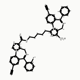 C#Cc1ccc2c(c1)C(c1ccccc1F)=NCc1c(C(=O)OCCCCCc3nc(C(=O)O)c4n3-c3ccc(C#C)cc3C(c3ccccc3)=NC4)ncn1-2